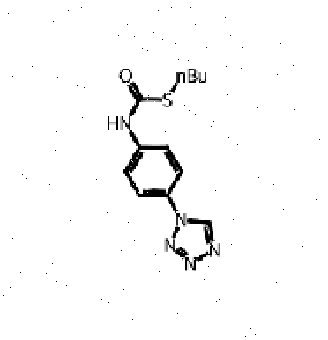 CCCCSC(=O)Nc1ccc(-n2cnnn2)cc1